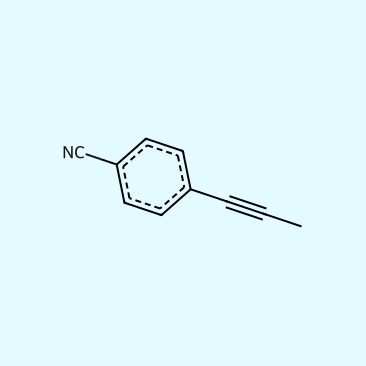 CC#Cc1ccc(C#N)cc1